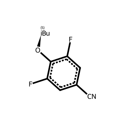 CC[C@H](C)Oc1c(F)cc(C#N)cc1F